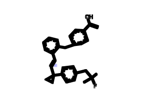 C=C(O)c1ccc(Cc2ccccc2/C=C/C2(c3ccc(CC(C)(C)F)cc3)CC2)cc1